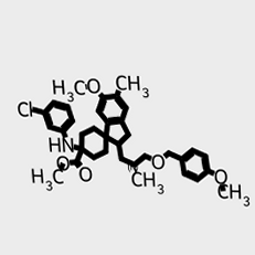 COC(=O)C1(Nc2cccc(Cl)c2)CCC2(CC1)c1cc(OC)c(C)cc1CC2C[C@@H](C)COCc1ccc(OC)cc1